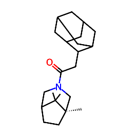 CC1(C)C2CC[C@]1(C)CN(C(=O)CC1C3CC4CC(C3)CC1C4)C2